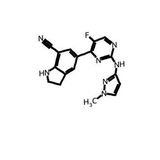 Cn1ccc(Nc2ncc(F)c(-c3cc(C#N)c4c(c3)CCN4)n2)n1